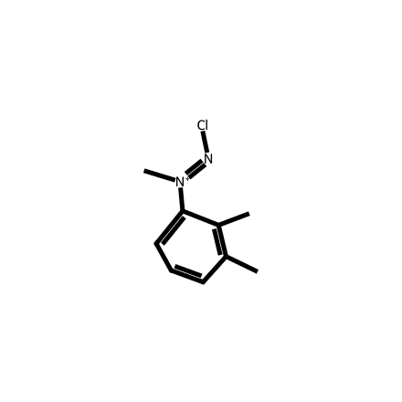 Cc1cccc([N+](C)=NCl)c1C